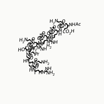 CC(=O)N[C@@H](CCC(=O)O)CN(CC(=O)N[C@@H](CCCNC(=N)N)CN(CC(=O)N[C@@H](CCCNC(=N)N)CN(CC(=O)N[C@@H](CC(C)C)CN(CC(=O)N[C@H](CN(CC(=O)N[C@@H](CC(C)C)CN(CC(=O)N[C@H](C)CCCNC(=N)N)S(=O)(=O)CCN)S(=O)(=O)CC(C)C)C(C)O)S(=O)(=O)CCN)S(C)(=O)=O)S(C)(=O)=O)S(=O)(=O)CCN